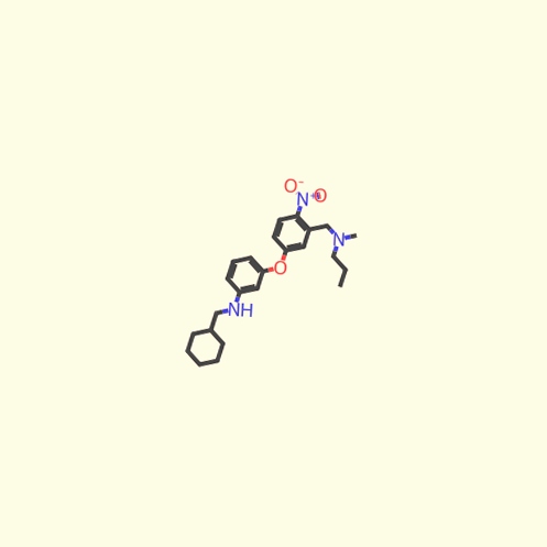 CCCN(C)Cc1cc(Oc2cccc(NCC3CCCCC3)c2)ccc1[N+](=O)[O-]